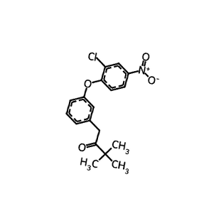 CC(C)(C)C(=O)Cc1cccc(Oc2ccc([N+](=O)[O-])cc2Cl)c1